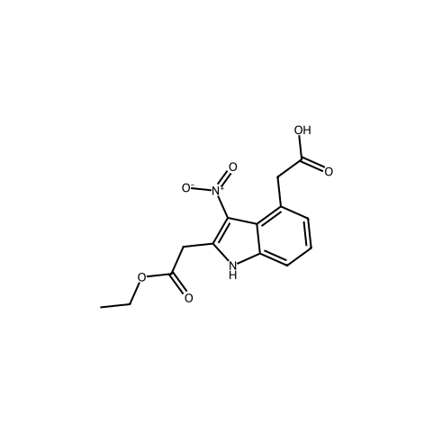 CCOC(=O)Cc1[nH]c2cccc(CC(=O)O)c2c1[N+](=O)[O-]